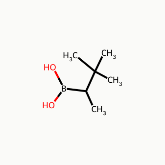 CC(B(O)O)C(C)(C)C